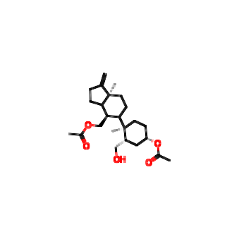 C=C1CCC2[C@H](COC(C)=O)C([C@@]3(C)CC[C@H](OC(C)=O)C[C@@H]3CO)CC[C@]12C